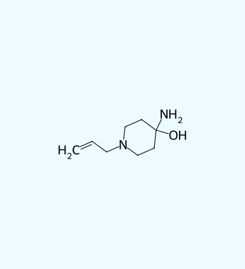 C=CCN1CCC(N)(O)CC1